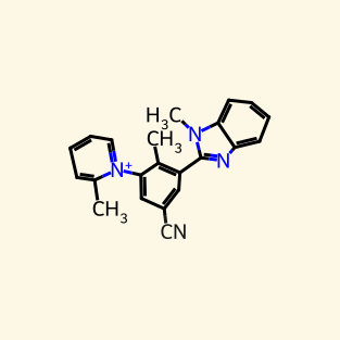 Cc1c(-c2nc3ccccc3n2C)cc(C#N)cc1-[n+]1ccccc1C